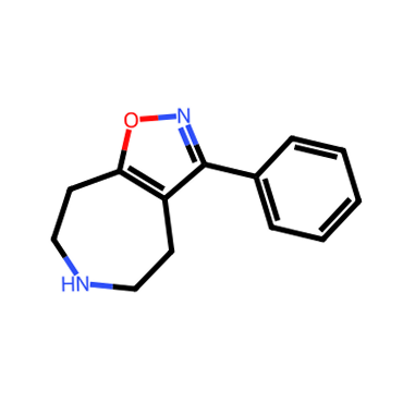 c1ccc(-c2noc3c2CCNCC3)cc1